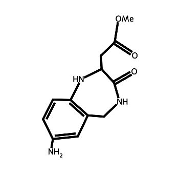 COC(=O)CC1Nc2ccc(N)cc2CNC1=O